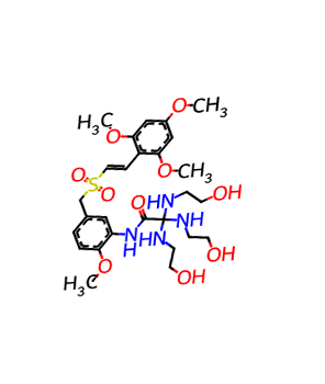 COc1cc(OC)c(/C=C/S(=O)(=O)Cc2ccc(OC)c(NC(=O)C(NCCO)(NCCO)NCCO)c2)c(OC)c1